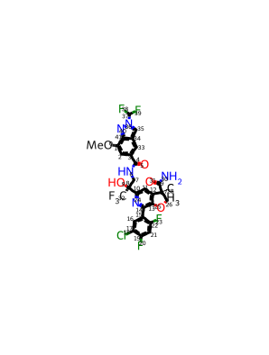 COc1cc(C(=O)NCC(O)(c2cc3c(c(-c4cc(Cl)c(F)cc4F)n2)OC[C@]3(C)C(N)=O)C(F)(F)F)cc2cn(C(F)F)nc12